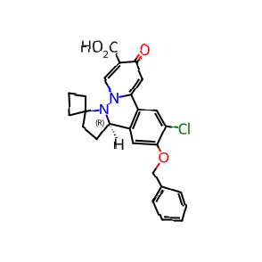 O=C(O)c1cn2c(cc1=O)-c1cc(Cl)c(OCc3ccccc3)cc1[C@H]1CCC3(CCC3)N12